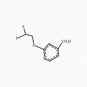 O=C(O)c1ccnc(OCC(F)F)c1